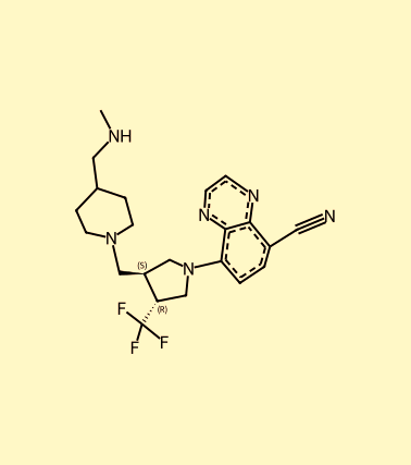 CNCC1CCN(C[C@H]2CN(c3ccc(C#N)c4nccnc34)C[C@@H]2C(F)(F)F)CC1